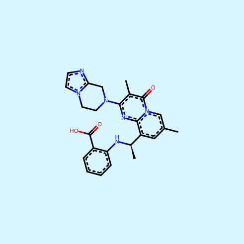 Cc1cc([C@@H](C)Nc2ccccc2C(=O)O)c2nc(N3CCn4ccnc4C3)c(C)c(=O)n2c1